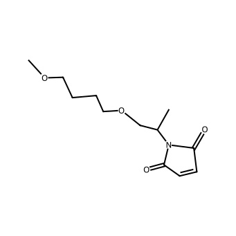 COCCCCOCC(C)N1C(=O)C=CC1=O